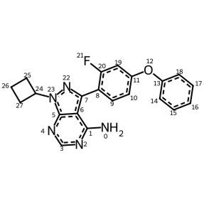 Nc1ncnc2c1c(-c1ccc(Oc3ccccc3)cc1F)nn2C1CCC1